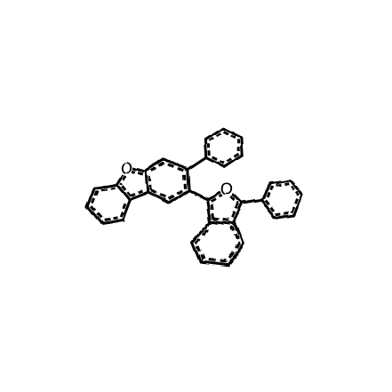 c1ccc(-c2cc3oc4ccccc4c3cc2-c2oc(-c3ccccc3)c3ccccc23)cc1